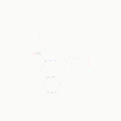 CCO.CCOC(=O)C(N)Cc1ccccc1.F[B-](F)(F)F